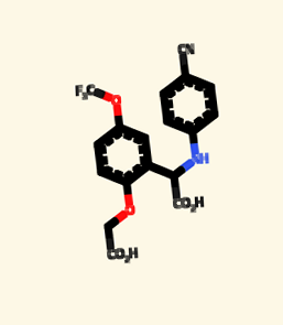 N#Cc1ccc(NC(C(=O)O)c2cc(OC(F)(F)F)ccc2OCC(=O)O)cc1